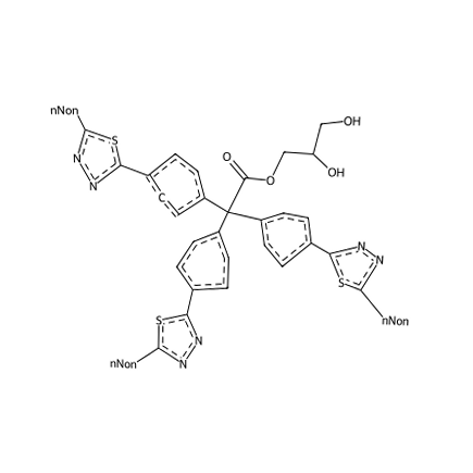 CCCCCCCCCc1nnc(-c2ccc(C(C(=O)OCC(O)CO)(c3ccc(-c4nnc(CCCCCCCCC)s4)cc3)c3ccc(-c4nnc(CCCCCCCCC)s4)cc3)cc2)s1